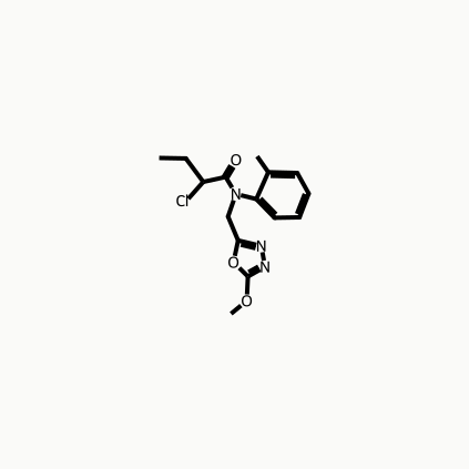 CCC(Cl)C(=O)N(Cc1nnc(OC)o1)c1ccccc1C